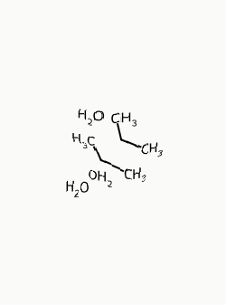 CCC.CCC.O.O.O